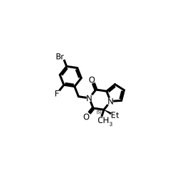 CC[C@@]1(C)C(=O)N(Cc2ccc(Br)cc2F)C(=O)c2cccn21